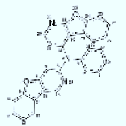 c1ccc(N(c2cc3oc4ccccc4c3cn2)c2ccnc3oc4ccccc4c23)cc1